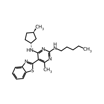 CCCCCNc1nc(C)c(-c2nc3ccccc3s2)c(N[C@@H]2CC[C@@H](C)C2)n1